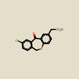 CCOC(=O)Cc1ccc2c(c1)C(=O)c1cc(Cl)ccc1CS2